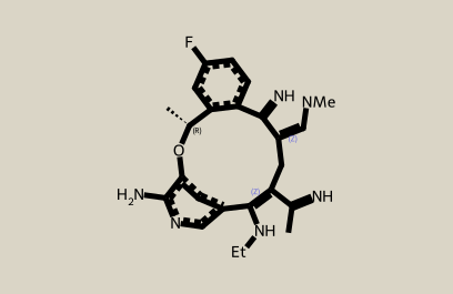 CCN/C1=C(\C(C)=N)C/C(=C/NC)C(=N)c2ccc(F)cc2[C@@H](C)Oc2cc1cnc2N